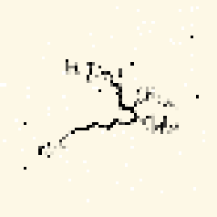 CCCCCCCC(C)[C@H](C)CCCNC